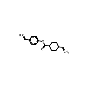 C=Cc1ccc(OC(=O)C2CCC(C=C)CC2)cc1